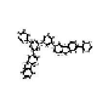 c1ccc(-c2ccc3c(c2)oc2ccc(-c4cccc(-c5nc(-c6ccccc6)nc(-c6ccc7c(c6)oc6ccccc67)n5)c4)cc23)cc1